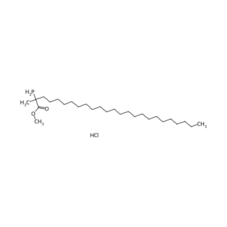 CCCCCCCCCCCCCCCCCCCCCCCC(C)(P)C(=O)OC.Cl